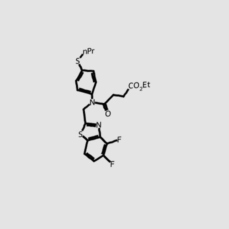 CCCSc1ccc(N(Cc2nc3c(F)c(F)ccc3s2)C(=O)CCC(=O)OCC)cc1